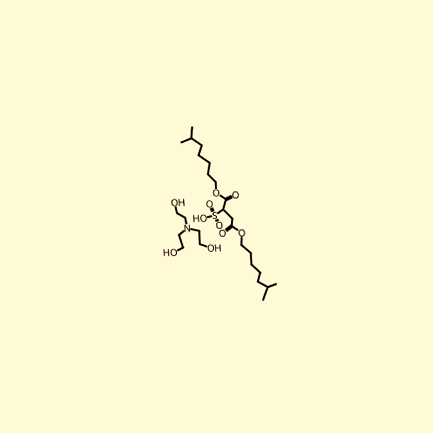 CC(C)CCCCCOC(=O)CC(C(=O)OCCCCCC(C)C)S(=O)(=O)O.OCCN(CCO)CCO